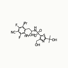 CCCc1c(F)c(C#N)c(F)c(C(C)C)c1CC(O)NS(=O)(=O)c1sc(C(C)(C)O)nc1CO